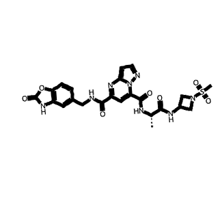 C[C@H](NC(=O)c1cc(C(=O)NCc2ccc3oc(=O)[nH]c3c2)nc2ccnn12)C(=O)NC1CN(S(C)(=O)=O)C1